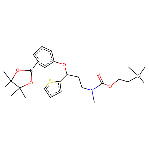 CN(CCC(Oc1cccc(B2OC(C)(C)C(C)(C)O2)c1)c1cccs1)C(=O)OCC[Si](C)(C)C